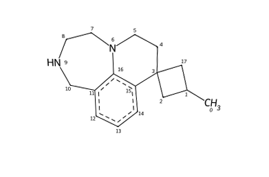 CC1CC2(CCN3CCNCc4cccc2c43)C1